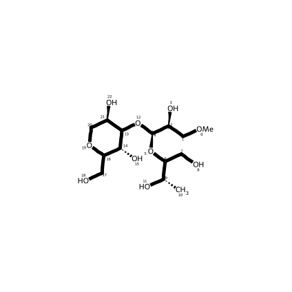 COC[C@H](O)[C@@H](OC(CO)[C@H](C)O)OC1[C@H](O)C(CO)OC[C@H]1O